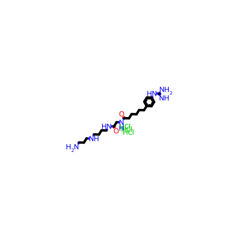 Cl.Cl.Cl.N=C(N)Nc1ccc(CCCCCC(=O)NCC(=O)NCCCCNCCCN)cc1